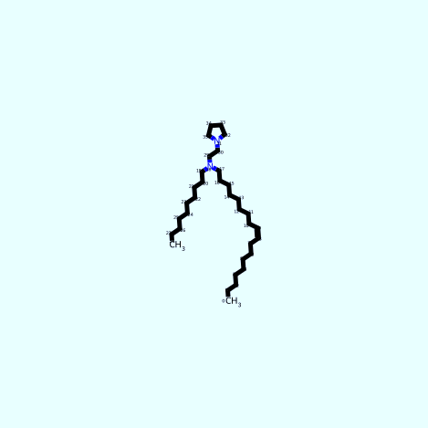 CCCCCCCC/C=C\CCCCCCCCN(CCCCCCCCCC)CCN1CCCC1